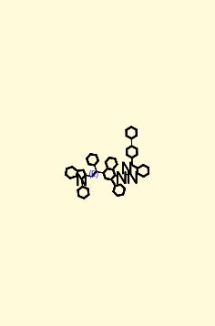 C(=C(/c1ccccc1)c1cc2c3ccccc3n(-c3nc(-c4ccc(-c5ccccc5)cc4)c4ccccc4n3)c2c2ccccc12)/c1cc2ccccc2n1-c1ccccc1